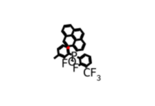 Cc1cccc(P(=O)(c2cccc(C(F)(F)F)c2F)c2ccc3ccc4cccc5ccc2c3c45)c1F